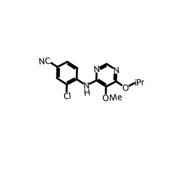 COc1c(Nc2ccc(C#N)cc2Cl)ncnc1OC(C)C